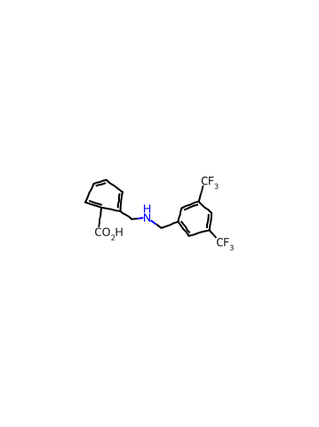 O=C(O)c1ccccc1CNCc1cc(C(F)(F)F)cc(C(F)(F)F)c1